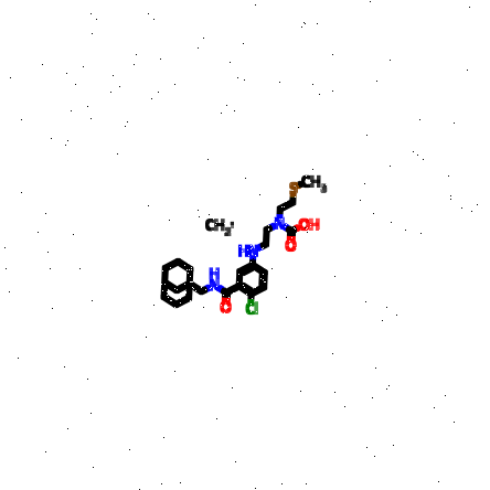 CSCCN(CCNc1ccc(Cl)c(C(=O)NCC23CCCC(CCC2)C3)c1)C(=O)O.[CH2]